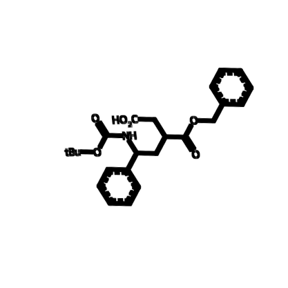 CC(C)(C)OC(=O)NC(CC(CC(=O)O)C(=O)OCc1ccccc1)c1ccccc1